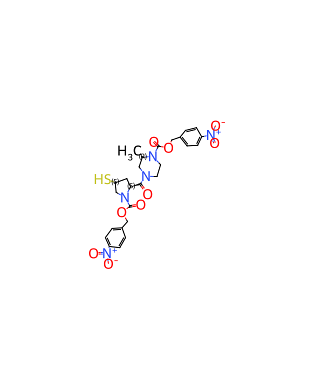 C[C@@H]1CN(C(=O)[C@@H]2C[C@H](S)CN2C(=O)OCc2ccc([N+](=O)[O-])cc2)CCN1C(=O)OCc1ccc([N+](=O)[O-])cc1